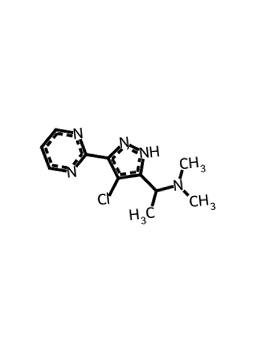 CC(c1[nH]nc(-c2ncccn2)c1Cl)N(C)C